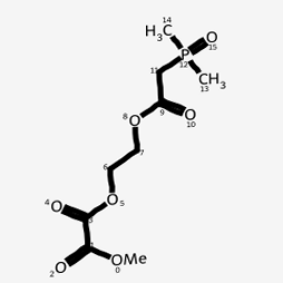 COC(=O)C(=O)OCCOC(=O)CP(C)(C)=O